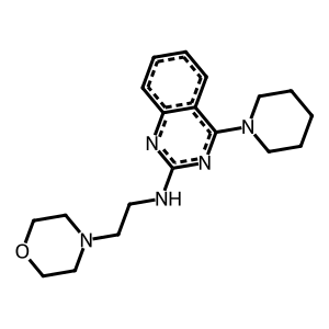 c1ccc2c(N3CCCCC3)nc(NCCN3CCOCC3)nc2c1